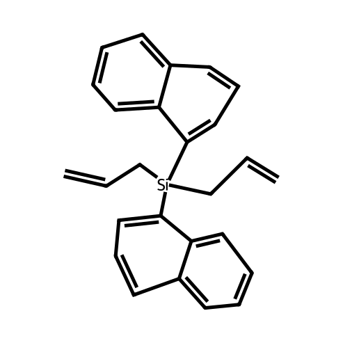 C=CC[Si](CC=C)(c1cccc2ccccc12)c1cccc2ccccc12